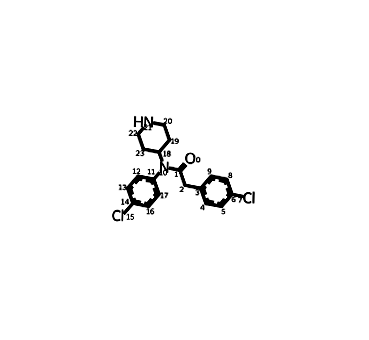 O=C(Cc1ccc(Cl)cc1)N(c1ccc(Cl)cc1)C1CCNCC1